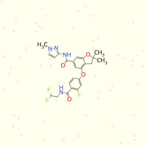 Cn1ccc(NC(=O)c2cc(Oc3ccc(C(=O)NCC(F)F)c(F)c3)c3c(c2)OC(C)(C)C3)n1